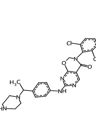 CC(c1ccc(Nc2ncc3c(n2)OCN(c2c(Cl)cccc2Cl)C3=O)cc1)N1CCNCC1